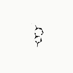 Cc1cn2ccc(C=O)nc2n1